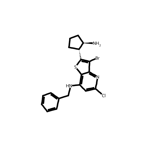 N[C@@H]1CCC[C@H]1c1sc2c(NCc3ccccc3)cc(Cl)nc2c1Br